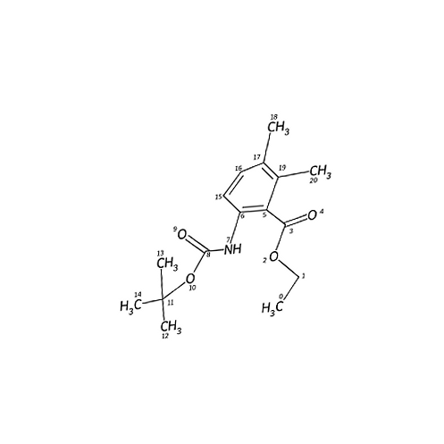 CCOC(=O)c1c(NC(=O)OC(C)(C)C)ccc(C)c1C